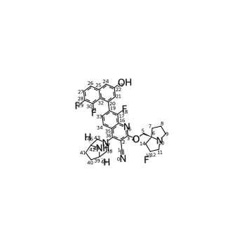 N#Cc1c(OC[C@@]23CCCN2C[C@H](F)C3)nc2c(F)c(-c3cc(O)cc4ccc(F)c(F)c34)ccc2c1N1C[C@H]2CC[C@@H](C1)N2